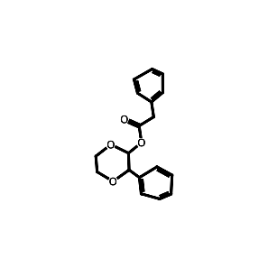 O=C(Cc1ccccc1)OC1OCCOC1c1ccccc1